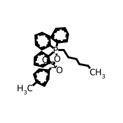 CCCCCCP(OS(=O)(=O)c1ccc(C)cc1)(c1ccccc1)(c1ccccc1)c1ccccc1